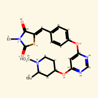 CCN1C(=O)S/C(=C\c2ccc(Oc3cc(OC4CCN(C(=O)O)C(C(C)(C)C)C4)ncn3)cc2)C1=O